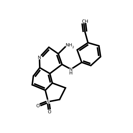 C#Cc1cccc(Nc2c(N)cnc3ccc4c(c23)CCS4(=O)=O)c1